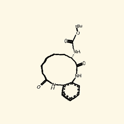 CC(C)(C)OC(=O)N[C@H]1CCCCCC(=O)Nc2ccccc2NC1=O